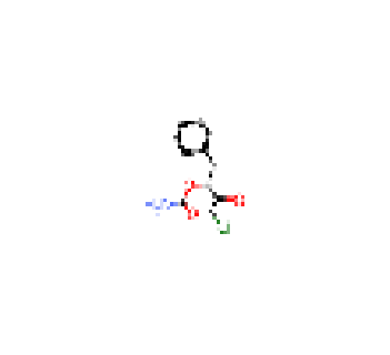 NC(=O)O[C@@H](Cc1ccccc1)C(=O)CCl